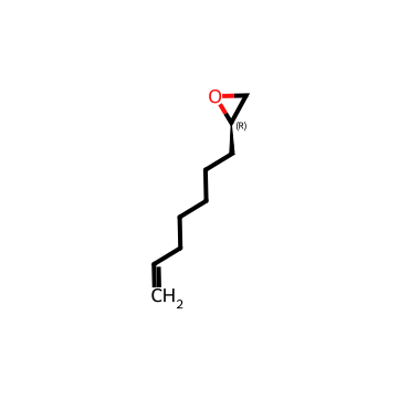 C=CCCCCC[C@@H]1CO1